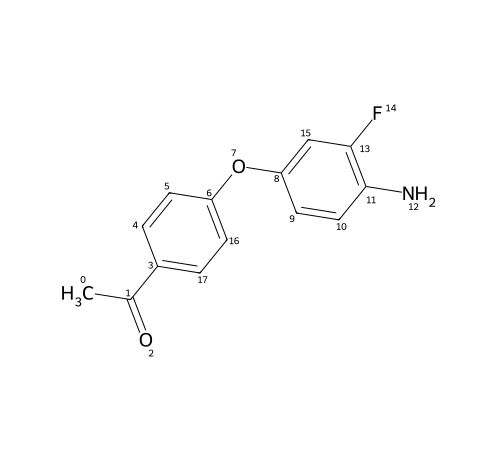 CC(=O)c1ccc(Oc2ccc(N)c(F)c2)cc1